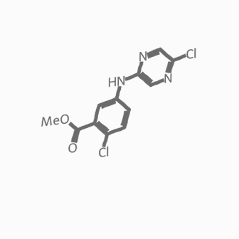 COC(=O)c1cc(Nc2cnc(Cl)cn2)ccc1Cl